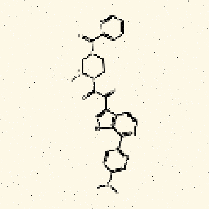 C[C@@H]1CN(C(=O)c2ccccn2)CCN1C(=O)C(=O)c1c[nH]c2c(-c3cnc(N(C)C)cn3)nccc12